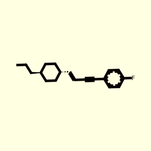 CCC[C@H]1CC[C@H](/C=C/C#Cc2ccc(F)cc2)CC1